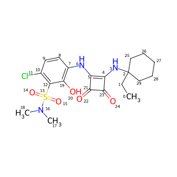 CCC1(Nc2c(Nc3ccc(Cl)c(S(=O)(=O)N(C)C)c3O)c(=O)c2=O)CCCCC1